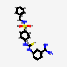 N=C(N)c1cccc(NC(=S)Nc2ccc(S(=O)(=O)NCc3ccccc3)cc2)c1